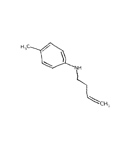 C=CCCNc1ccc(C)cc1